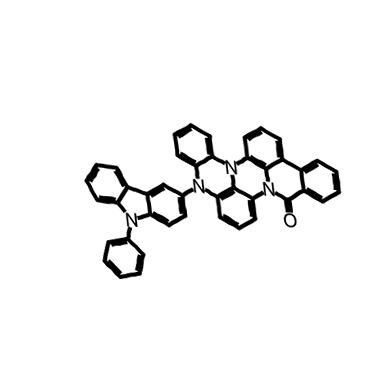 O=c1c2ccccc2c2cccc3c2n1c1cccc2c1-n3c1ccccc1n2-c1ccc2c(c1)c1ccccc1n2-c1ccccc1